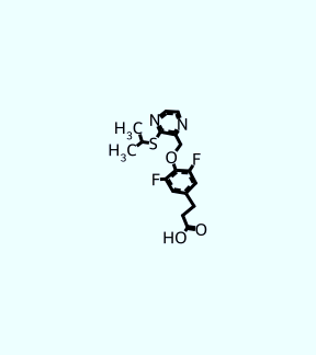 CC(C)Sc1nccnc1COc1c(F)cc(CCC(=O)O)cc1F